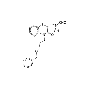 O=CN(O)CC1Sc2ccccc2N(CCCOCc2ccccc2)C1=O